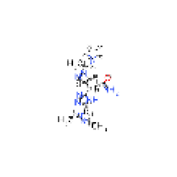 CCn1nc(C)cc1-c1nnc(-c2cc(C(N)=O)cc3c2cnn3[C@@H](C)CN2CCCC2)[nH]1